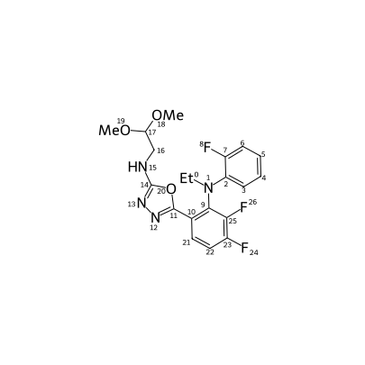 CCN(c1ccccc1F)c1c(-c2nnc(NCC(OC)OC)o2)ccc(F)c1F